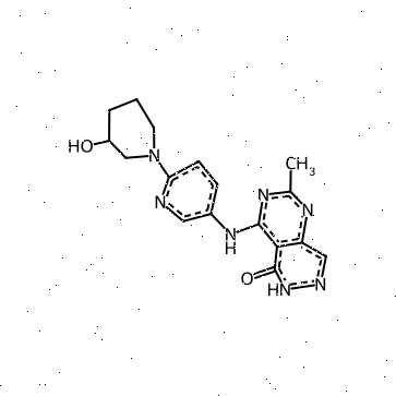 Cc1nc(Nc2ccc(N3CCCC(O)C3)nc2)c2c(=O)[nH]ncc2n1